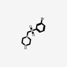 O=S(=O)(CN1CCNCC1)c1cccc(Br)c1